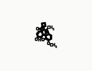 COC1=C2O[C@H]3C(=O)C=CC4(C(=O)C5CCC5)[C@H]5CC(C=C1)C2[C@@]34CCN5C